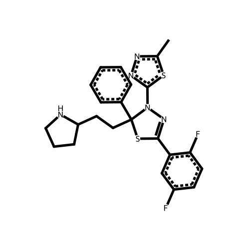 Cc1nnc(N2N=C(c3cc(F)ccc3F)SC2(CCC2CCCN2)c2ccccc2)s1